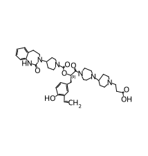 C=Cc1cc(C[C@@H](OC(=O)N2CCC(N3CCc4ccccc4NC3=O)CC2)C(=O)N2CCN(C3CCN(CCC(=O)O)CC3)CC2)ccc1O